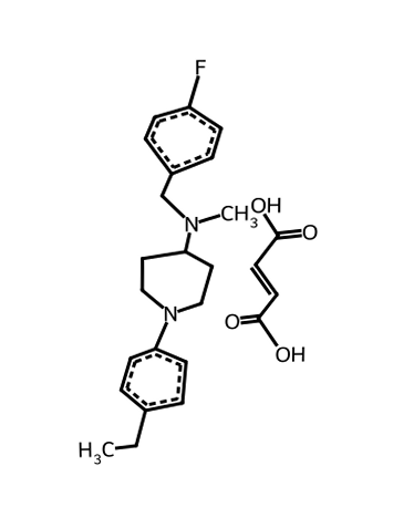 CCc1ccc(N2CCC(N(C)Cc3ccc(F)cc3)CC2)cc1.O=C(O)C=CC(=O)O